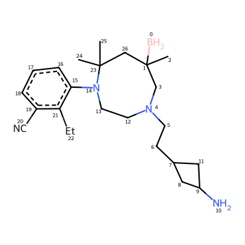 BC1(C)CN(CCC2CC(N)C2)CCN(c2cccc(C#N)c2CC)C(C)(C)C1